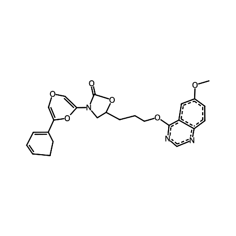 COc1ccc2ncnc(OCCCC3CN(C4=COC=C(C5=CC=CCC5)O4)C(=O)O3)c2c1